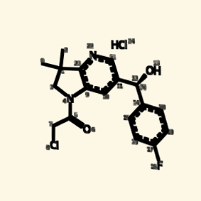 CC1(C)CN(C(=O)CCl)c2cc([C@@H](O)c3ccc(F)cc3)cnc21.Cl